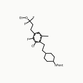 CCCCCC1CCC(CCc2c(C)cc(CCC(F)(F)OCC)c(F)c2Cl)CC1